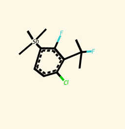 CC(C)(F)c1c(Cl)cc[c]([Sn]([CH3])([CH3])[CH3])c1F